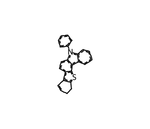 C1=Cc2c(sc3c2ccc2c3c3ccccc3n2-c2ccccc2)CC1